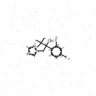 [CH2]C(C)(C)C(O)(Cn1cncn1)c1ccc(F)cc1F